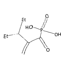 C=C(C(=O)P(=O)(O)O)C(CC)CC